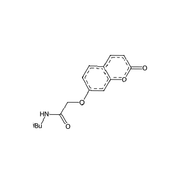 CCC(C)NC(=O)COc1ccc2ccc(=O)oc2c1